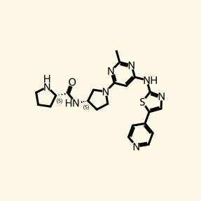 Cc1nc(Nc2ncc(-c3ccncc3)s2)cc(N2CC[C@H](NC(=O)[C@@H]3CCCN3)C2)n1